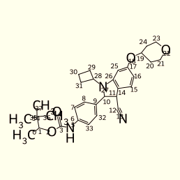 CC(OC(=O)Nc1ccc(C2C(C#N)c3ccc(OC4CCOCC4)cc3N2C2CCC2)cc1)C(C)(C)C